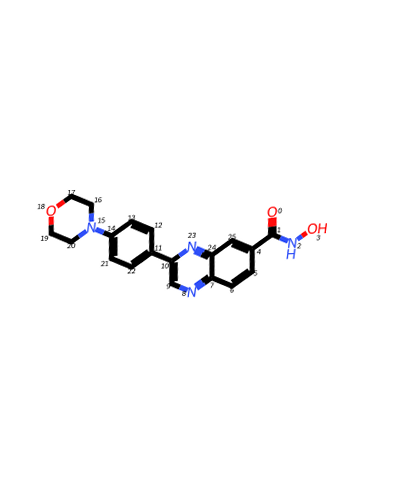 O=C(NO)c1ccc2ncc(-c3ccc(N4CCOCC4)cc3)nc2c1